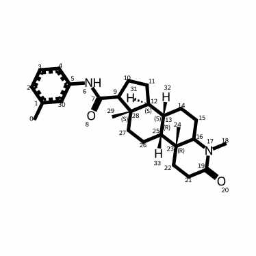 Cc1cccc(NC(=O)C2CC[C@H]3[C@@H]4CCC5N(C)C(=O)CC[C@]5(C)[C@@H]4CC[C@]23C)c1